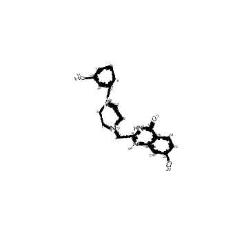 O=c1[nH]c(CN2CCN(c3cccc(O)c3)CC2)nc2cc(Cl)ccc12